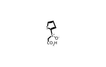 O=C(O)C[S@@+]([O-])c1cccs1